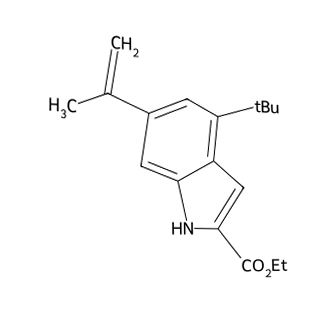 C=C(C)c1cc(C(C)(C)C)c2cc(C(=O)OCC)[nH]c2c1